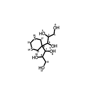 OCC(O)C(O)C1(C(O)C(O)CO)CSCSC1